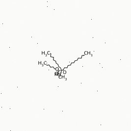 CCCCCCCCCCCCCC(=O)C(CCCCCCCCCC)(CNC)C(=O)OCCCCCC